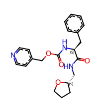 O=C(N[C@@H](Cc1ccccc1)C(=O)NC[C@@H]1CCCO1)OCc1ccncc1